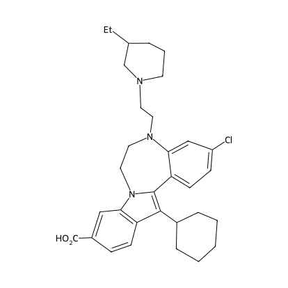 CCC1CCCN(CCN2CCn3c(c(C4CCCCC4)c4ccc(C(=O)O)cc43)-c3ccc(Cl)cc32)C1